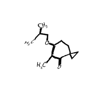 CC1=C(OCC(C)C)CCC2(CC2)C1=O